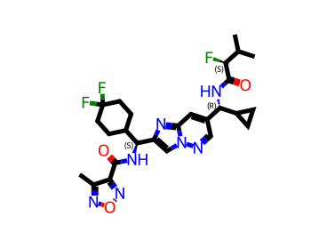 Cc1nonc1C(=O)N[C@H](c1cn2ncc([C@H](NC(=O)[C@@H](F)C(C)C)C3CC3)cc2n1)C1CCC(F)(F)CC1